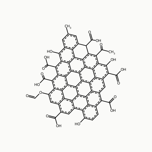 CC(=O)c1c2c3c4c5c(cc(C)cc5c(O)c5c(C(=O)O)c6c(C(=O)O)c7c(OC=O)cc8c(C(=O)O)cc9c%10c(O)ccc%11c(C(=O)O)c%12cc%13c(C(=O)O)c(O)c1c1c%13c%13c%12c(c%11%10)c%10c9c8c7c7c6c(c54)c(c31)c%13c7%10)C2C(=O)O